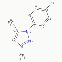 Cc1ccc(-n2nc(C(F)(F)F)cc2C(F)(F)F)cc1